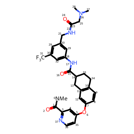 CNC(=O)c1cc(Oc2ccc3c(c2)CC(C(=O)Nc2cc(CNC(=O)CN(C)C)cc(C(F)(F)F)c2)CC3)ccn1